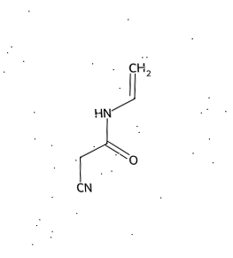 C=CNC(=O)CC#N